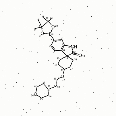 CC1(C)OB(c2ccc3c(c2)NC(=O)C32CCC(OCCN3CCOCC3)CC2)OC1(C)C